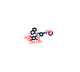 O=C(O)c1cc(C(=O)O)c(C(=O)N(Cc2cccc(C=NOC3CCCCO3)c2)C2CCCc3ccccc32)cc1C(=O)O